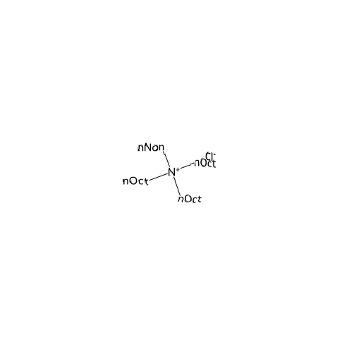 CCCCCCCCC[N+](CCCCCCCC)(CCCCCCCC)CCCCCCCC.[Cl-]